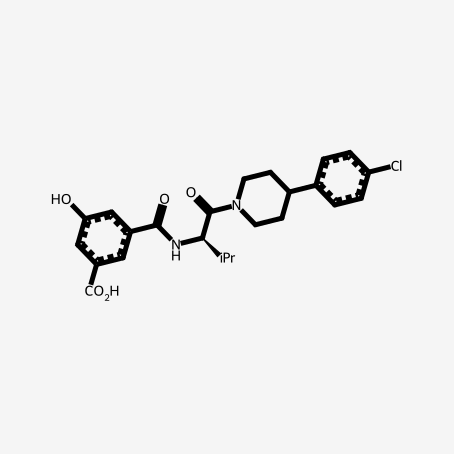 CC(C)[C@@H](NC(=O)c1cc(O)cc(C(=O)O)c1)C(=O)N1CCC(c2ccc(Cl)cc2)CC1